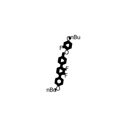 CCCCOc1ccc(OCc2ccc(-c3ccc(C4CCC(OCCCC)CC4)c(F)c3F)cc2)c(F)c1